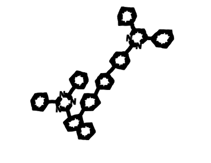 c1ccc(-c2cc(-c3ccccc3)nc(-c3ccc(-c4ccc(-c5ccc(-c6c(-c7nc(-c8ccccc8)nc(-c8ccccc8)n7)ccc7ccccc67)cc5)cc4)cc3)n2)cc1